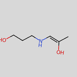 CC(O)=CNCCCO